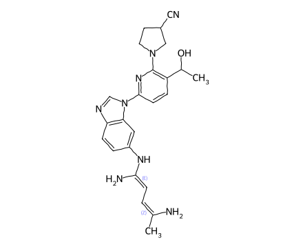 C/C(N)=C/C=C(\N)Nc1ccc2ncn(-c3ccc(C(C)O)c(N4CCC(C#N)C4)n3)c2c1